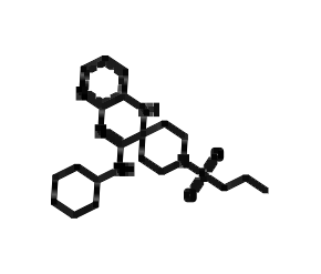 CCCS(=O)(=O)N1CCC2(CC1)Nc1cccnc1N=C2NC1CCCCC1